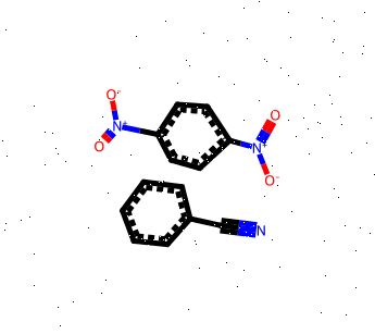 N#Cc1ccccc1.O=[N+]([O-])c1ccc([N+](=O)[O-])cc1